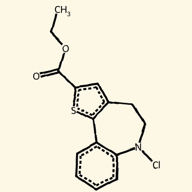 CCOC(=O)c1cc2c(s1)-c1ccccc1N(Cl)CC2